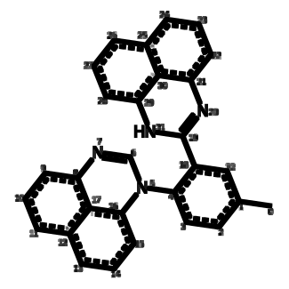 Cc1ccc(N2C=Nc3cccc4cccc2c34)c(C2=Nc3cccc4cccc(c34)N2)c1